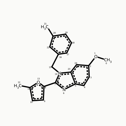 COc1ccc2nc(-c3ccc(C)o3)n(Cc3cccc(C)c3)c2c1